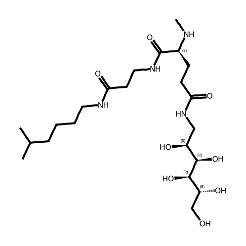 CN[C@@H](CCC(=O)NC[C@H](O)[C@@H](O)[C@H](O)[C@H](O)CO)C(=O)NCCC(=O)NCCCCC(C)C